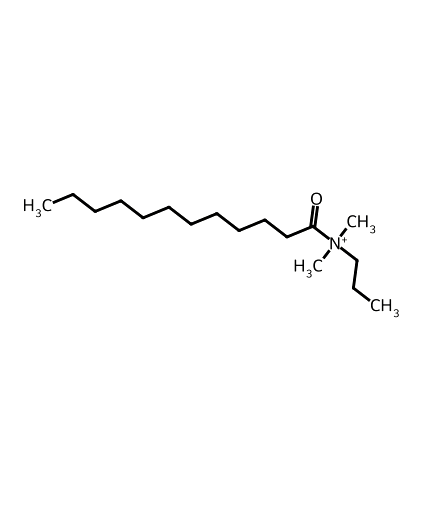 CCCCCCCCCCCC(=O)[N+](C)(C)CCC